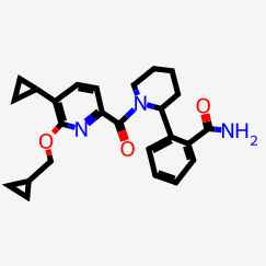 NC(=O)c1ccccc1C1CCCCN1C(=O)c1ccc(C2CC2)c(OCC2CC2)n1